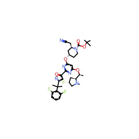 C[C@H](Oc1cc(O[C@H]2CCN(C(=O)OC(C)(C)C)[C@H](CC#N)C2)nc(-c2cc(C(C)(C)c3c(F)cccc3F)no2)n1)[C@@H]1C[C@@H](F)CN1C